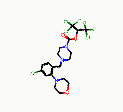 O=C(OC(C(Cl)(Cl)Cl)C(Cl)(Cl)Cl)N1CCN(Cc2ccc(Cl)cc2N2CCOCC2)CC1